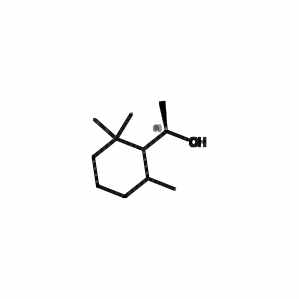 CC1CCCC(C)(C)C1[C@@H](C)O